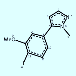 COc1cc(-c2ccnn2C)ccc1I